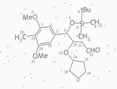 COc1cc(C(O[Si](C)(C)C(C)(C)C)C(CC=O)OC2CCCC2)cc(OC)c1C